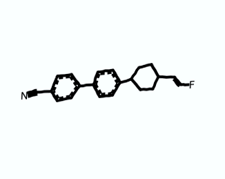 N#Cc1ccc(-c2ccc(C3CCC(/C=C/F)CC3)cc2)cc1